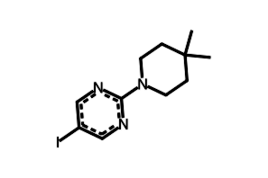 CC1(C)CCN(c2ncc(I)cn2)CC1